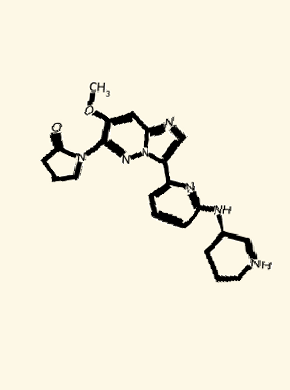 COc1cc2ncc(-c3cccc(N[C@@H]4CCCNC4)n3)n2nc1N1CCCC1=O